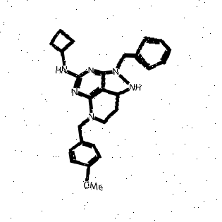 COc1ccc(CN2CCC3NN(Cc4ccccc4)c4nc(NC5CCC5)nc2c43)cc1